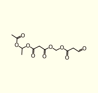 CC(=O)OC(C)OC(=O)CC(=O)OCOC(=O)CC=O